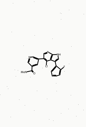 CNC(=O)c1cncc(-c2cnc3[nH]cc(-c4ccccc4F)c3c2Cl)c1